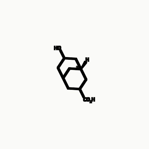 O=C(O)C1CC2CC(O)C[C@@H](C2)C1